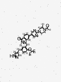 CC(=O)N1CCN(c2ncc(-c3ccc4c(=O)n(C)n(Cc5cc(Cc6cn[nH]c6)ccc5OC(F)F)c4c3)cn2)CC1C